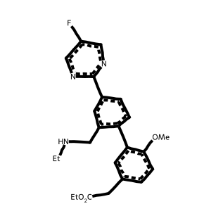 CCNCc1cc(-c2ncc(F)cn2)ccc1-c1cc(CC(=O)OCC)ccc1OC